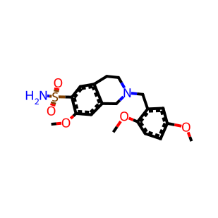 COc1ccc(OC)c(CN2CCc3cc(S(N)(=O)=O)c(OC)cc3C2)c1